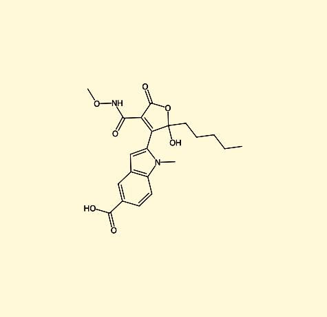 CCCCCC1(O)OC(=O)C(C(=O)NOC)=C1c1cc2cc(C(=O)O)ccc2n1C